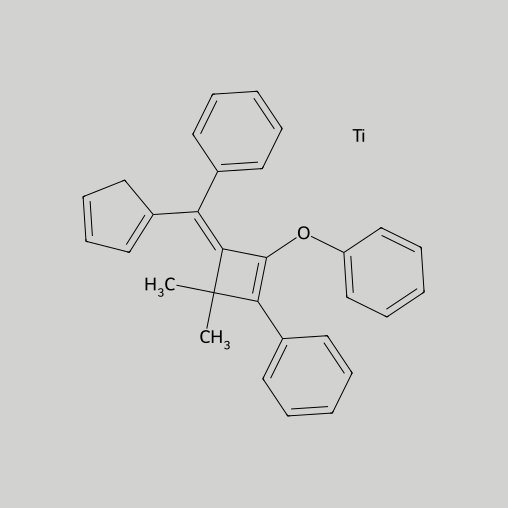 CC1(C)C(=C(C2=CC=CC2)c2ccccc2)C(Oc2ccccc2)=C1c1ccccc1.[Ti]